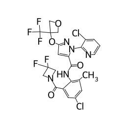 Cc1cc(Cl)cc(C(=O)N2CC(F)(F)C2)c1NC(=O)c1cc(OC2(C(F)(F)F)COC2)nn1-c1ncccc1Cl